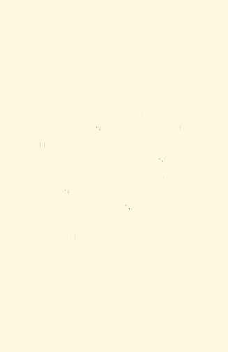 Cc1c2nc(c(C)c3[nH]c(c(C)c4nc(c(C)c5[nH]c1c(C)c5F)C(F)=C4F)c(F)c3F)C(F)=C2F